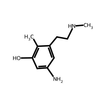 CNCCc1cc(N)cc(O)c1C